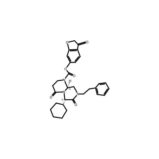 O=C1COc2cc(OC(=O)N3CCC(=O)N4[C@@H](C5CCCCC5)C(=O)N(CCc5ccccc5)C[C@H]34)ccc21